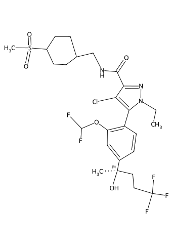 CCn1nc(C(=O)NCC2CCC(S(C)(=O)=O)CC2)c(Cl)c1-c1ccc([C@](C)(O)CCC(F)(F)F)cc1OC(F)F